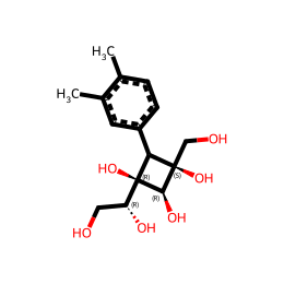 Cc1ccc(C2[C@@](O)([C@H](O)CO)[C@H](O)[C@@]2(O)CO)cc1C